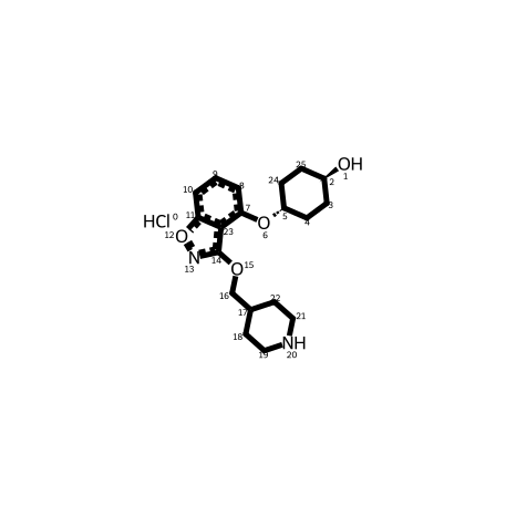 Cl.O[C@H]1CC[C@H](Oc2cccc3onc(OCC4CCNCC4)c23)CC1